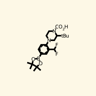 CC(C)(C)C1CN(c2ccc(B3OC(C)(C)C(C)(C)O3)cc2C(F)F)CCN1C(=O)O